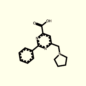 O=C(O)c1cc(CN2CCCC2)nc(-c2ccccc2)n1